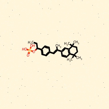 CCC(OP(=O)(O)O)c1ccc(C=C(C)c2ccc3c(c2)C(C)(C)CCC3(C)C)cc1